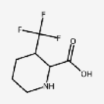 O=C(O)C1NCCCC1C(F)(F)F